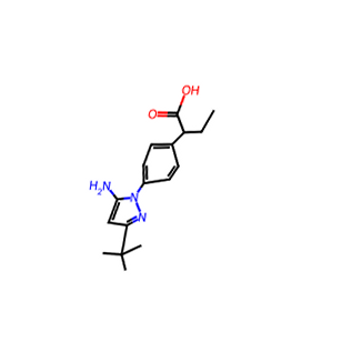 CCC(C(=O)O)c1ccc(-n2nc(C(C)(C)C)cc2N)cc1